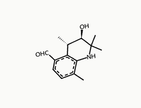 Cc1ccc(C=O)c2c1NC(C)(C)[C@H](O)[C@H]2C